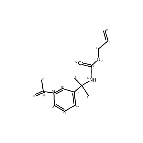 C=CCOC(=O)NC(C)(C)c1cccc(C(=C)C)c1